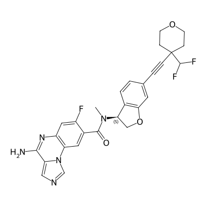 CN(C(=O)c1cc2c(cc1F)nc(N)c1cncn12)[C@@H]1COc2cc(C#CC3(C(F)F)CCOCC3)ccc21